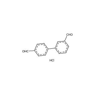 Cl.O=Cc1ccc(-c2cccc(C=O)c2)cc1